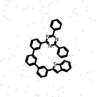 c1ccc(-c2nc(-c3ccccc3)nc(-c3cccc(-c4cccc(-c5cccc(-c6cc7ccccc7s6)c5)c4)c3)n2)cc1